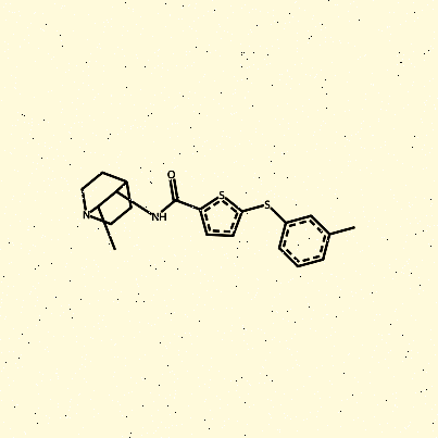 Cc1cccc(Sc2ccc(C(=O)NC3C4CCN(CC4)C3C)s2)c1